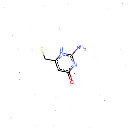 Nc1nc(=O)cc(CF)[nH]1